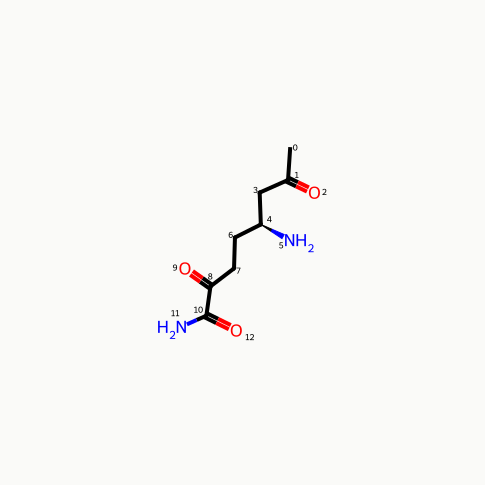 CC(=O)C[C@@H](N)CCC(=O)C(N)=O